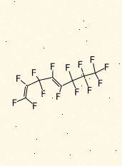 FC(F)=C(F)C(F)(F)C(F)=C(F)C(F)(F)C(F)(F)C(F)(F)F